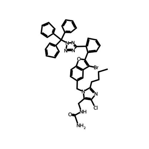 CCCCc1nc(Cl)c(CNC(N)=O)n1Cc1ccc2oc(-c3ccccc3-c3nnn(C(c4ccccc4)(c4ccccc4)c4ccccc4)n3)c(Br)c2c1